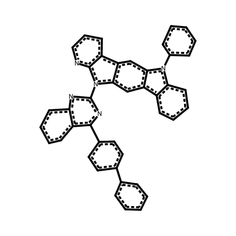 c1ccc(-c2ccc(-c3nc(-n4c5cc6c7ccccc7n(-c7ccccc7)c6cc5c5cccnc54)nc4ccccc34)cc2)cc1